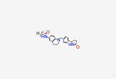 CC(=O)Nc1ccc2c(c1)CCCN2Cc1ccc(C2CCC(=O)N2)cc1